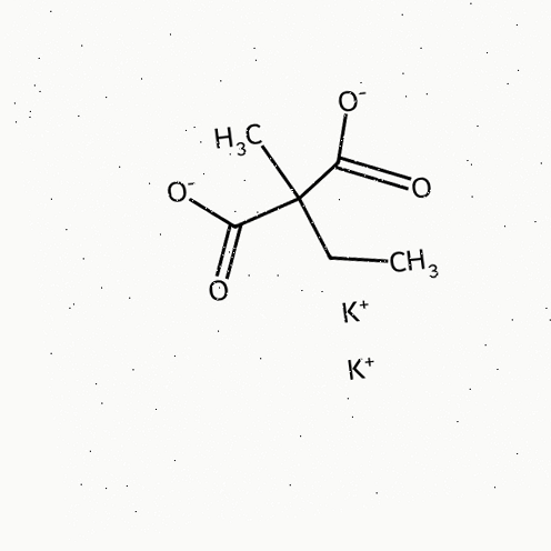 CCC(C)(C(=O)[O-])C(=O)[O-].[K+].[K+]